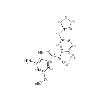 CCCCOc1nc(N)c2[nH]cc(Cc3cccc(CN4CCCC4)c3)c2n1.O=CO